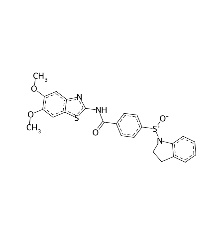 COc1cc2nc(NC(=O)c3ccc([S+]([O-])N4CCc5ccccc54)cc3)sc2cc1OC